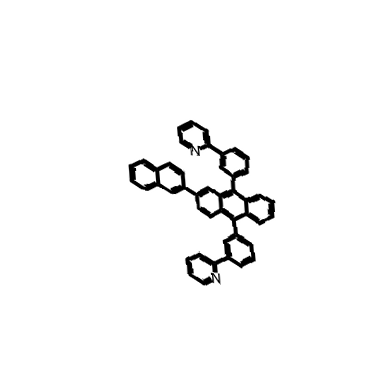 c1ccc(-c2cccc(-c3c4ccccc4c(-c4cccc(-c5ccccn5)c4)c4cc(-c5ccc6ccccc6c5)ccc34)c2)nc1